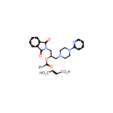 CC(C)C(=O)OC(CN1CCN(c2ccccn2)CC1)CN1C(=O)c2ccccc2C1=O.O=C(O)C=CC(=O)O